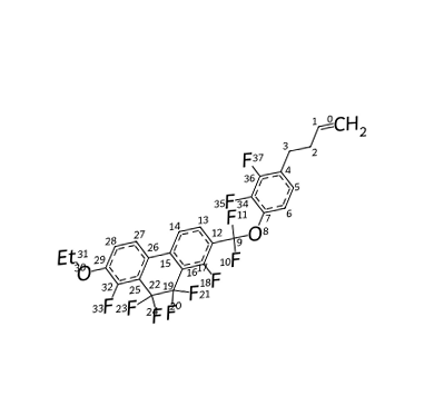 C=CCCc1ccc(OC(F)(F)c2ccc3c(c2F)C(F)(F)C(F)(F)c2c-3ccc(OCC)c2F)c(F)c1F